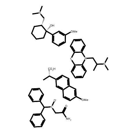 CC(CN1c2ccccc2Sc2ccccc21)N(C)C.COc1ccc2cc([C@H](C)C(=O)O)ccc2c1.COc1cccc([C@@]2(O)CCCC[C@@H]2CN(C)C)c1.NC(=O)C[S+]([O-])C(c1ccccc1)c1ccccc1